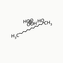 CCCCCCCCCCCCCC(C)O.O=S(=O)(O)O